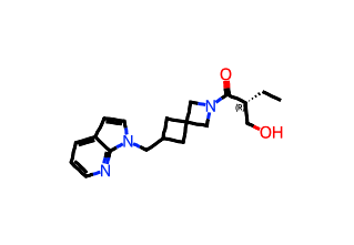 CC[C@H](CO)C(=O)N1CC2(CC(Cn3ccc4cccnc43)C2)C1